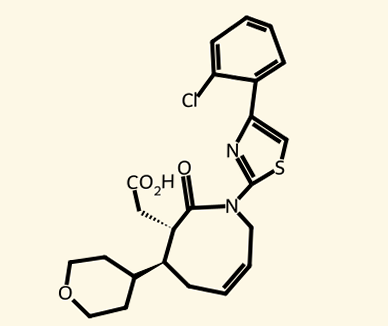 O=C(O)C[C@@H]1C(=O)N(c2nc(-c3ccccc3Cl)cs2)CC=CC[C@H]1C1CCOCC1